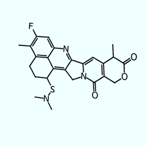 Cc1c(F)cc2nc3c(c4c2c1CCC4SN(C)C)Cn1c-3cc2c(c1=O)COC(=O)C2C